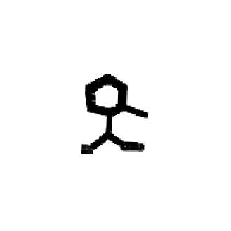 CCC(OC)c1ccccc1C